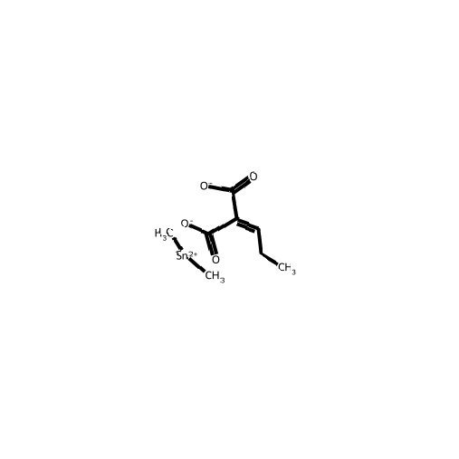 CCC=C(C(=O)[O-])C(=O)[O-].[CH3][Sn+2][CH3]